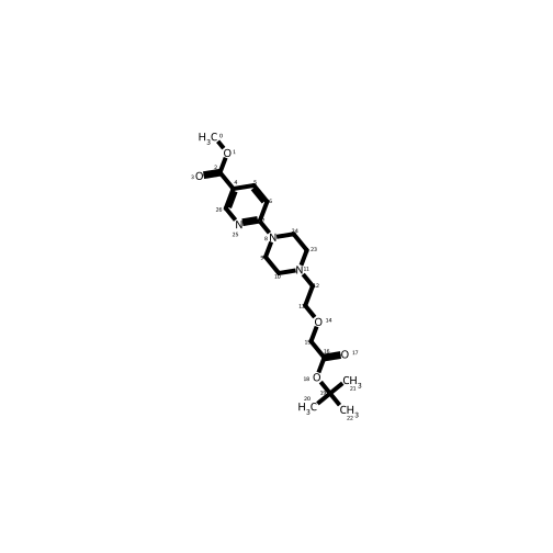 COC(=O)c1ccc(N2CCN(CCOCC(=O)OC(C)(C)C)CC2)nc1